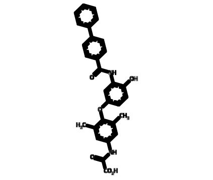 Cc1cc(NC(=O)C(=O)O)cc(C)c1Oc1ccc(O)c(NC(=O)c2ccc(-c3ccccc3)cc2)c1